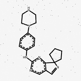 C1=NC2(CCCC2)c2nc(Nc3ccc(N4CCNCC4)cc3)ncc21